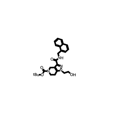 CC(C)(C)OC(=O)N1CCc2c(c(C(=O)NCc3cccc4ccccc34)nn2CCO)C1